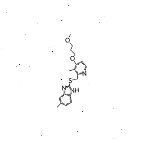 COCCCOc1ccnc(CSc2nc3cc(C)ccc3[nH]2)c1C